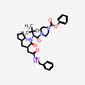 CC(C)(C)[C@H](NC(=O)C(CC(=O)NOCc1ccccc1)CC1CCCC1)C(=O)N1CCN(C(=O)Oc2ccccc2)CC1